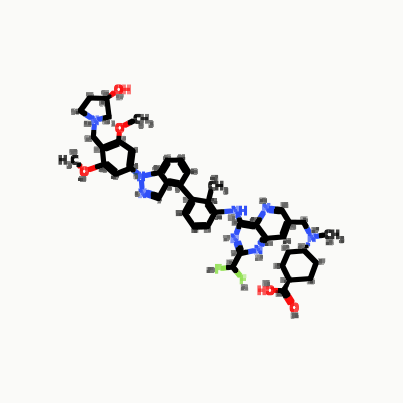 COc1cc(-n2ncc3c(-c4cccc(Nc5nc(C(F)F)nc6cc(CN(C)[C@H]7CC[C@H](C(=O)O)CC7)cnc56)c4C)cccc32)cc(OC)c1CN1CC[C@@H](O)C1